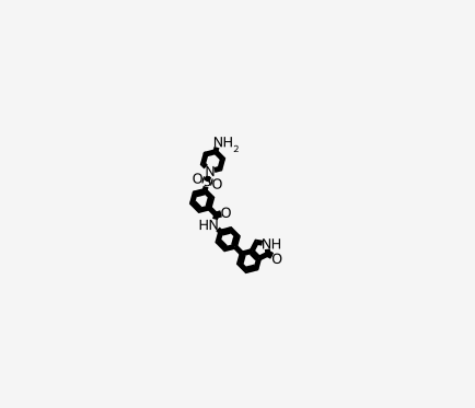 NC1CCN(S(=O)(=O)c2cccc(C(=O)Nc3ccc(-c4cccc5c4CNC5=O)cc3)c2)CC1